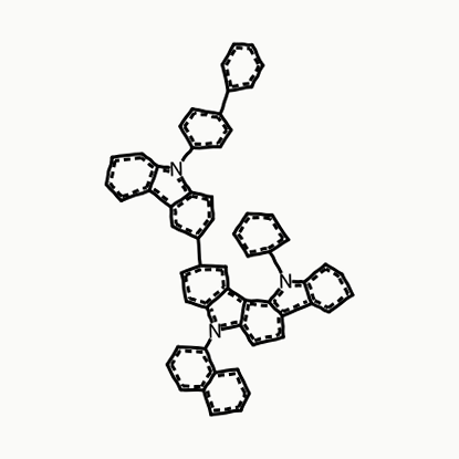 c1ccc(-c2ccc(-n3c4ccccc4c4cc(-c5ccc6c(c5)c5c(ccc7c8ccccc8n(-c8ccccc8)c75)n6-c5cccc6ccccc56)ccc43)cc2)cc1